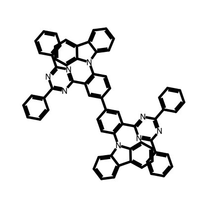 c1ccc(-c2nc(-c3ccccc3)nc(-c3cc(-c4ccc(-n5c6ccccc6c6ccccc65)c(-c5nc(-c6ccccc6)nc(-c6ccccc6)n5)c4)ccc3-n3c4ccccc4c4ccccc43)n2)cc1